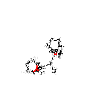 CCC(C)[C@@H]1NC(=O)[C@@H]2CCCN2C(=O)[C@H](CC(=O)O)NC(=O)[C@@H]2CSc3[nH]c4ccc(NC(=O)CCCNP(=O)(NCCCC(=O)Nc5ccc6[nH]c7c(c6c5)C[C@@H]5NC(=O)[C@H](C(C)CC)NC(=O)[C@@H]6CCCN6C(=O)[C@H](CC(=O)O)NC(=O)[C@H](CS7)NC(=O)CNC(=O)[C@H]([C@@H](C)CC)NC(=O)CNC5=O)NCCCN5C(=O)CC(S)C5=O)cc4c3C[C@H](NC1=O)C(=O)NCC(=O)N[C@@H]([C@@H](C)CC)C(=O)NCC(=O)N2